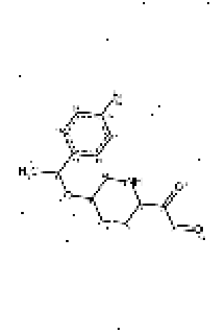 CC(OC1CCC(C(=O)C=O)NC1)c1ccc(Br)cc1